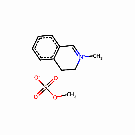 COS(=O)(=O)[O-].C[N+]1=Cc2ccccc2CC1